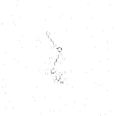 CO[C@H]1C(COS(=O)(=O)O)O[C@@H](O[C@H]2C(C(=O)O)O[C@@H](OCC(O)[C@@H](O)[C@@H](O)C(O)CNc3cccc(NOCCCCCC4CCSS4)c3)C(OS(=O)(=O)O)[C@@H]2O)C(NS(=O)(=O)O)[C@@H]1O